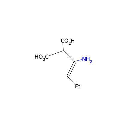 CCC=C(N)C(C(=O)O)C(=O)O